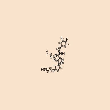 CCCSc1nc(N[C@@H]2C[C@H]2c2ccc(F)c(F)c2)c2nnn([C@H]3CC[C@@H](OCCO)C3)c2n1